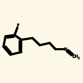 C=NCCCCc1ccccc1F